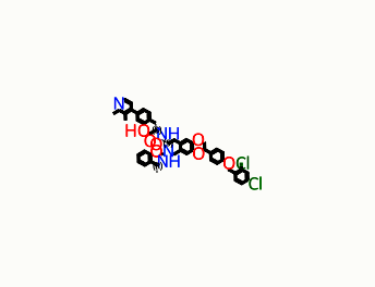 Cc1nccc(-c2ccc(C[C@H](NC(=O)[C@@H]3Cc4cc5c(cc4CN3C(=O)N[C@H](C)c3ccccc3)OC(c3ccc(OCc4ccc(Cl)cc4Cl)cc3)CO5)C(=O)O)cc2)c1C